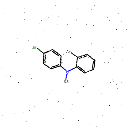 CCN(c1ccc(Br)cc1)c1ccccc1C(C)=O